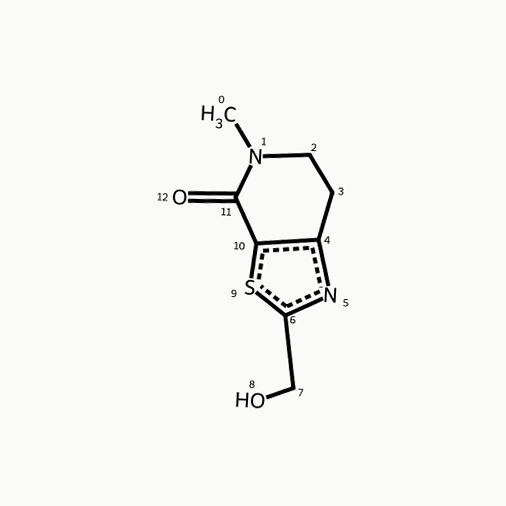 CN1CCc2nc(CO)sc2C1=O